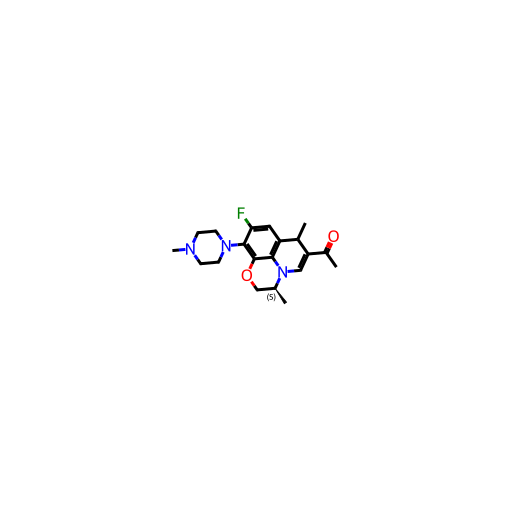 CC(=O)C1=CN2c3c(cc(F)c(N4CCN(C)CC4)c3OC[C@@H]2C)C1C